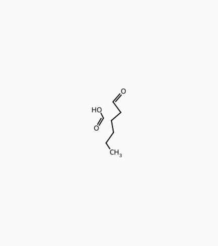 CCCCCC=O.O=CO